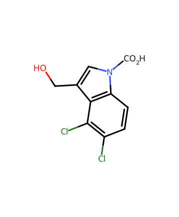 O=C(O)n1cc(CO)c2c(Cl)c(Cl)ccc21